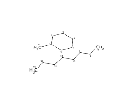 CC1CCCCC1.CCCCCCCC